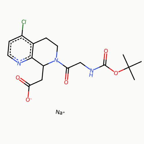 CC(C)(C)OC(=O)NCC(=O)N1CCc2c(Cl)ccnc2C1CC(=O)[O-].[Na+]